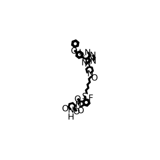 Nc1ncnc2c1c(-c1ccc(Oc3ccccc3)cc1)nn2C1CCN(C(=O)CCCCCCSc2c(F)ccc3c2C(=O)N(C2CCC(=O)NC2=O)C3=O)CC1